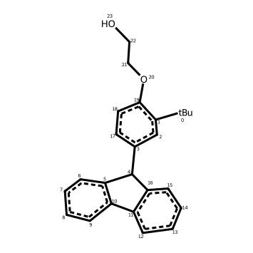 CC(C)(C)c1cc(C2c3ccccc3-c3ccccc32)ccc1OCCO